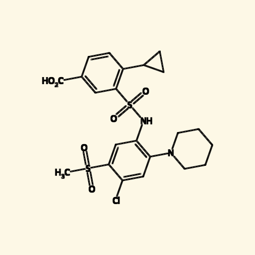 CS(=O)(=O)c1cc(NS(=O)(=O)c2cc(C(=O)O)ccc2C2CC2)c(N2CCCCC2)cc1Cl